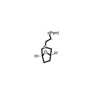 CCCCCCCN1C[C@H]2CC[C@@H](C1)O2